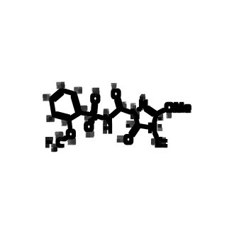 CCn1c(OC)nn(C(=O)NS(=O)(=O)c2ccccc2OC(F)(F)F)c1=O